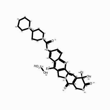 CCc1c2c(nc3ccc(OC(=O)N4CCC(N5CCCCC5)CC4)cc13)-c1cc3c(c(=O)n1C2)COC(=O)[C@]3(O)CC.O=S(=O)(O)O